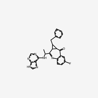 CC(Nc1ncnc2[nH]cnc12)C1=Nc2ccc(F)cc2C(=O)C2C(Cc3ccccc3)C12